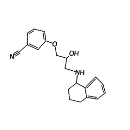 N#Cc1cccc(OCC(O)CNC2CCCc3ccccc32)c1